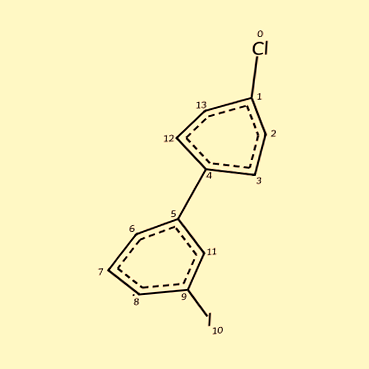 Clc1ccc(-c2cc[c]c(I)c2)cc1